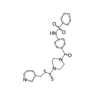 O=C(c1ccc(NS(=O)(=O)c2ccccc2)cc1)N1CCN(C(=S)SCc2cccnc2)CC1